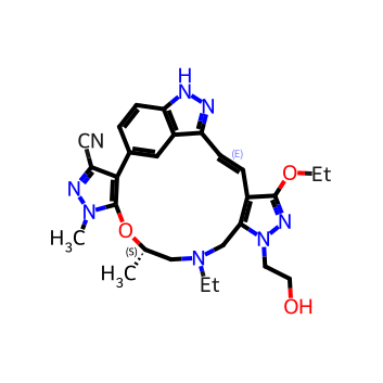 CCOc1nn(CCO)c2c1/C=C/c1n[nH]c3ccc(cc13)-c1c(C#N)nn(C)c1O[C@@H](C)CN(CC)C2